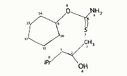 CC(C)CC(C)O.NC(=S)OC1CCCCC1